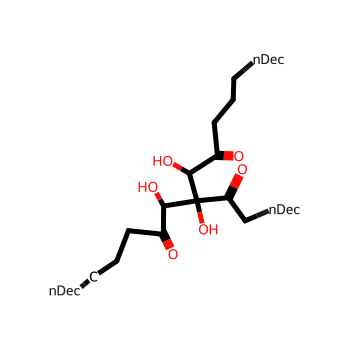 CCCCCCCCCCCCCC(=O)C(O)C(O)(C(=O)CCCCCCCCCCC)C(O)C(=O)CCCCCCCCCCCCC